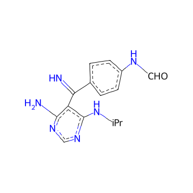 CC(C)Nc1ncnc(N)c1C(=N)c1ccc(NC=O)cc1